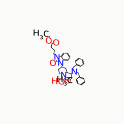 CCOC(=O)CCCn1c(=O)n(C2CCN(C(=O)O)C(C(CC)N(Cc3ccccc3)Cc3ccccc3)C2)c2ccccc21